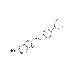 CCN(CC)c1ccc(C=Cc2cc3cc(O)ccc3o2)cc1